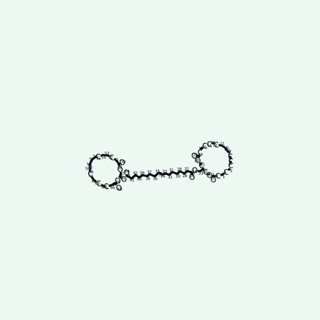 O=C1CCCCCCC/C=C\CCCCCCCC(=O)OCC(COC(=O)CCCCCCC/C=C/CCCCCCCC(=O)OC2COC(=O)CCCCCCC/C=C\CCCCCCCC(=O)O2)CO1